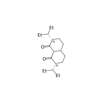 CCC(CC)[C@@H]1CCC2CC[C@H](C(CC)CC)C(=O)C2C1=O